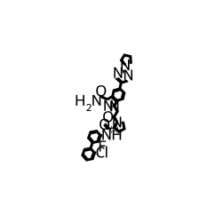 NC(=O)c1nn(CC(=O)N2CCC[C@H]2C(=O)Nc2cccc(-c3ccccc3Cl)c2F)c2ccc(-c3cnc(N4CCCC4)nc3)cc12